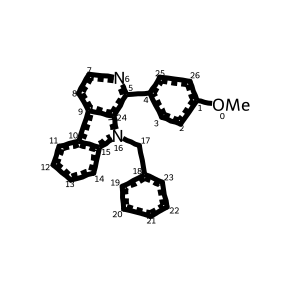 COc1ccc(-c2nccc3c4ccccc4n(Cc4ccccc4)c23)cc1